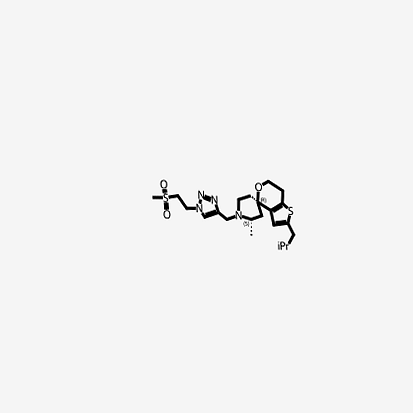 CC(C)Cc1cc2c(s1)CCO[C@@]21CCN(Cc2cn(CCS(C)(=O)=O)nn2)[C@@H](C)C1